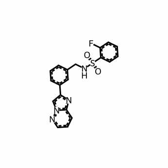 O=S(=O)(NCc1cccc(-c2cn3ncccc3n2)c1)c1ccccc1F